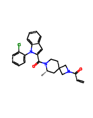 C=CC(=O)N1CC2(CCN(C(=O)c3cc4ccccc4n3-c3ccccc3Cl)[C@@H](C)C2)C1